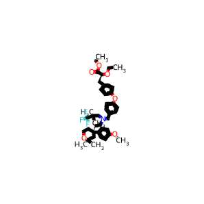 CCOC(=O)[C@H](Cc1ccc(Oc2ccc(CN(CC[C@@]3(c4ccc(OC)cc4)CCOC(C)(C)C3)CC(C)(C)C(F)(F)F)cc2)cc1)OCC